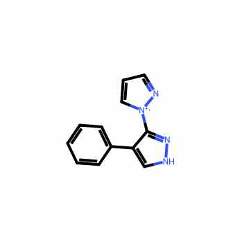 C1=C[N+](c2n[nH]cc2-c2ccccc2)N=C1